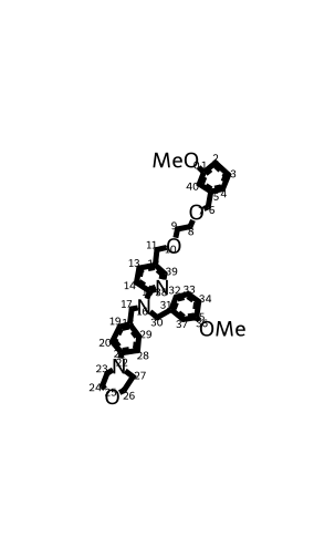 COc1cccc(COCCOCc2ccc(N(Cc3ccc(N4CCOCC4)cc3)Cc3cccc(OC)c3)nc2)c1